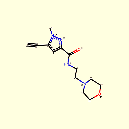 C#Cc1cc(C(=O)NCCN2CCOCC2)nn1C